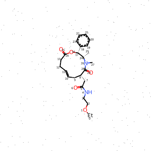 CCOCCNC(=O)C[C@@H]1C/C=C/CCC(=O)O[C@H](c2ccccc2)[C@H](C)N(C)C1=O